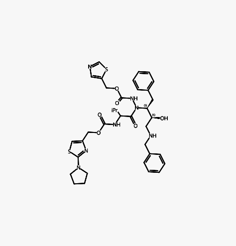 CC(C)C(NC(=O)OCc1csc(N2CCCC2)n1)C(=O)N(NC(=O)OCc1cncs1)[C@@H](Cc1ccccc1)[C@@H](O)CNCc1ccccc1